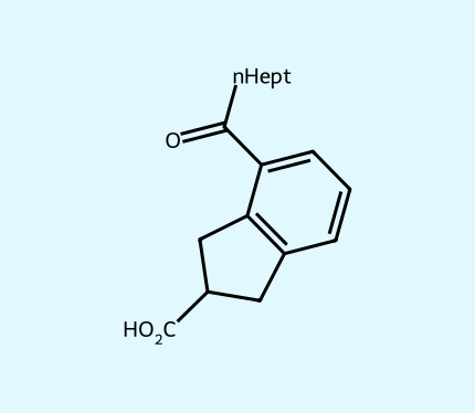 CCCCCCCC(=O)c1cccc2c1CC(C(=O)O)C2